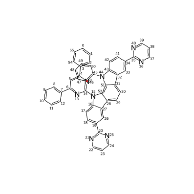 c1ccc(-c2cc(-c3ccccc3)nc(-n3c4ccc(-c5ncccn5)cc4c4ccc5c6cc(-c7ncccn7)ccc6n(-c6ccccc6)c5c43)n2)cc1